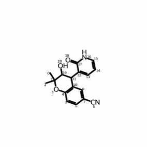 CC1(C)Oc2ccc(C#N)cc2C(c2ccc[nH]c2=O)C1O